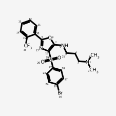 CN(C)CCCNc1oc(-c2ccccc2C(F)(F)F)nc1S(=O)(=O)c1ccc(Br)cc1